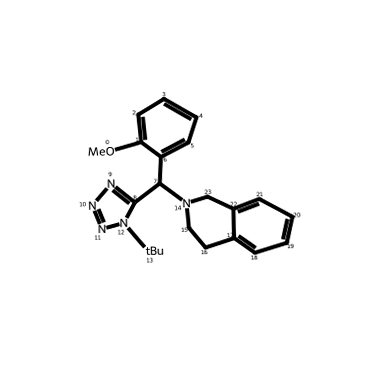 COc1ccccc1C(c1nnnn1C(C)(C)C)N1CCc2ccccc2C1